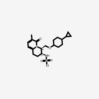 CCS(=O)(=O)N[C@H]1CCc2ccc(C)c(=O)n2[C@H]1COC1CCC(C2CC2)CC1